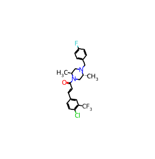 C[C@@H]1CN(C(=O)C=Cc2ccc(Cl)c(C(F)(F)F)c2)[C@@H](C)CN1Cc1ccc(F)cc1